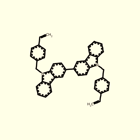 C=Cc1ccc(Cn2c3ccccc3c3cc(-c4ccc5c(c4)c4ccccc4n5Cc4ccc(C=C)cc4)ccc32)cc1